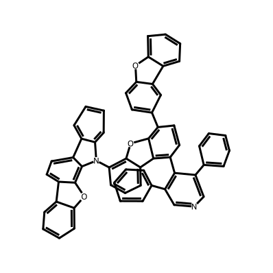 c1ccc(-c2cncc(-c3ccccc3)c2-c2ccc(-c3ccc4oc5ccccc5c4c3)c3oc4c(-n5c6ccccc6c6ccc7c8ccccc8oc7c65)cccc4c23)cc1